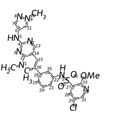 C=Nc1nc(Nc2cnn(C)c2)ncc1/C=C(\C)c1cccc(NS(=O)(=O)c2cc(Cl)cnc2OC)c1